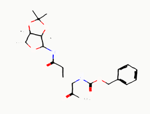 COC(=O)[C@H](CCC(=O)NC1O[C@H](C(=O)O)[C@H]2OC(C)(C)O[C@@H]12)NC(=O)OCc1ccccc1